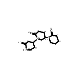 O=C1CC(N2CC(N3[CH]CCCC3=O)CCC2=O)CCN1